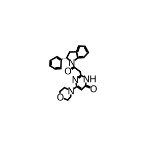 O=C(Cc1nc(N2CCOCC2)cc(=O)[nH]1)N1c2ccccc2C[C@H]1c1ccccc1